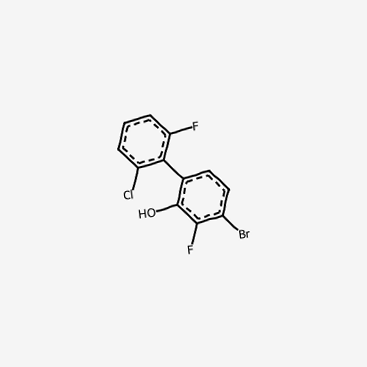 Oc1c(-c2c(F)cccc2Cl)ccc(Br)c1F